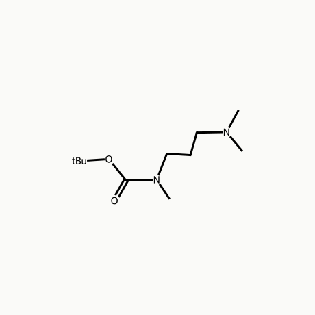 CN(C)CCCN(C)C(=O)OC(C)(C)C